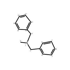 CN(Cc1cc[c]cc1)Cc1ccccc1